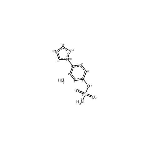 Cl.NS(=O)(=O)Oc1ccc(-n2cncn2)cc1